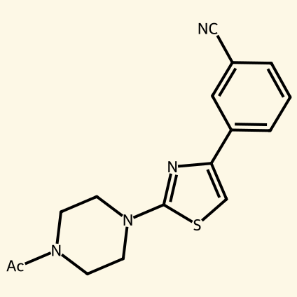 CC(=O)N1CCN(c2nc(-c3cccc(C#N)c3)cs2)CC1